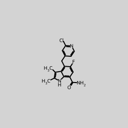 Cc1[nH]c2c(C(N)=O)cc(F)c(Cc3ccnc(Cl)c3)c2c1C